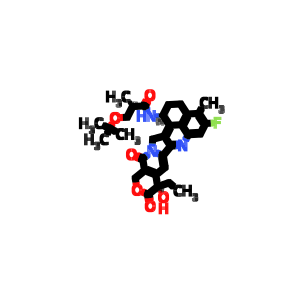 CC[C@@]1(O)C(=O)OCc2c1cc1n(c2=O)Cc2c-1nc1cc(F)c(C)c3c1c2[C@@H](NC(=O)[C@@H](C)COC(C)(C)C)CC3